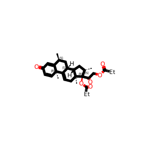 CCC(=O)OCC(=O)[C@@]1(OC(=O)CC)[C@@H](C)C[C@H]2[C@@H]3C[C@H](C)C4=CC(=O)C=C[C@]4(C)C3=CC[C@@]21C